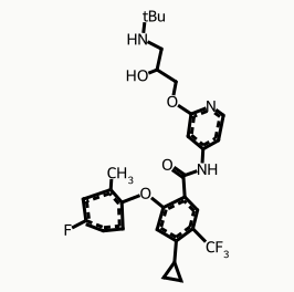 Cc1cc(F)ccc1Oc1cc(C2CC2)c(C(F)(F)F)cc1C(=O)Nc1ccnc(OCC(O)CNC(C)(C)C)c1